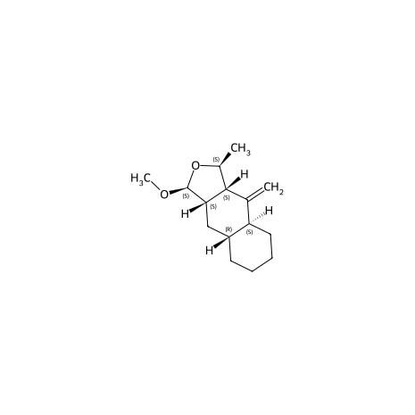 C=C1[C@@H]2[C@H](C[C@H]3CCCC[C@H]13)[C@@H](OC)O[C@H]2C